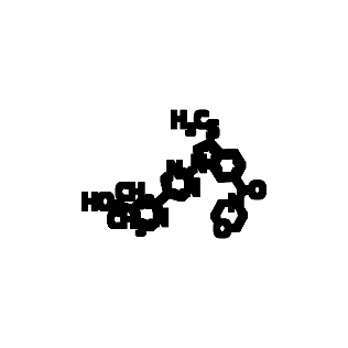 CSc1cn(-c2ncc(-c3cc(C(C)(C)O)ccn3)cn2)c2cc(C(=O)N3CCOCC3)ccc12